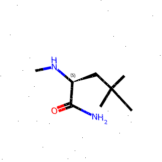 CN[C@@H](CC(C)(C)C)C(N)=O